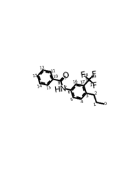 CCCc1ccc(NC(=O)c2ccccc2)cc1C(F)(F)F